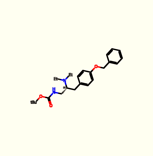 CCN(CC)[C@@H](CNC(=O)OC(C)(C)C)Cc1ccc(OCc2ccccc2)cc1